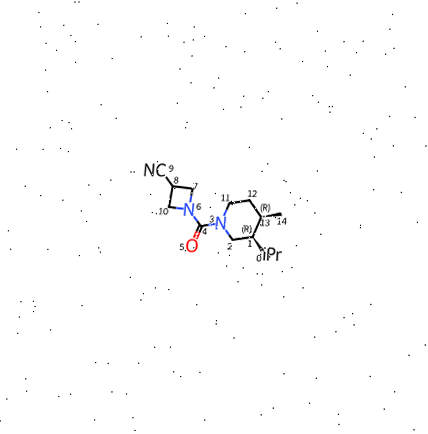 CC(C)[C@H]1CN(C(=O)N2CC(C#N)C2)CC[C@H]1C